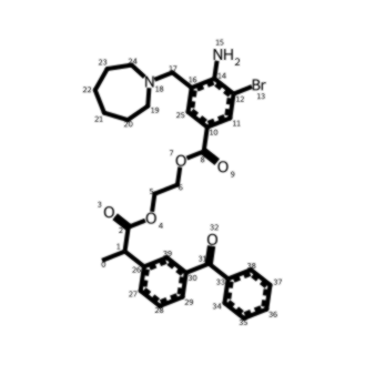 CC(C(=O)OCCOC(=O)c1cc(Br)c(N)c(CN2CCCCCC2)c1)c1cccc(C(=O)c2ccccc2)c1